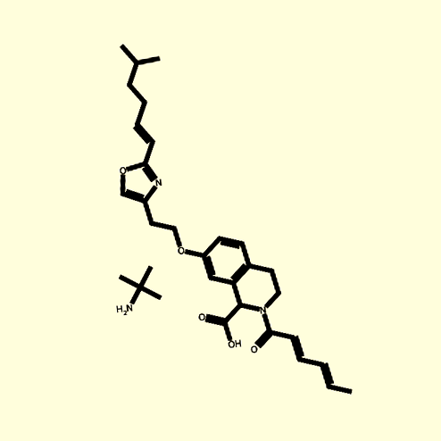 CC(C)(C)N.CC=CC=CC(=O)N1CCc2ccc(OCCc3coc(/C=C/CCC(C)C)n3)cc2C1C(=O)O